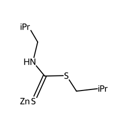 CC(C)CNC(=S)SCC(C)C.[Zn]